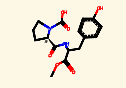 COC(=O)C(Cc1ccc(O)cc1)NC(=O)[C@@H]1CCCN1C(=O)O